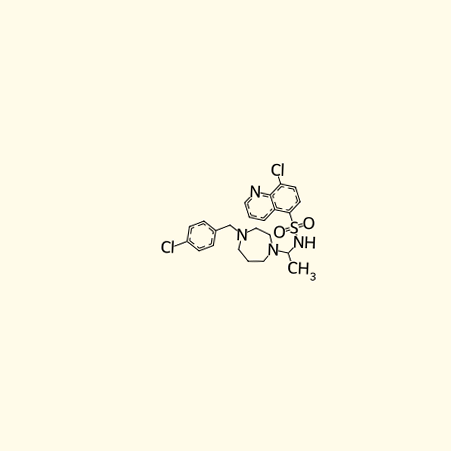 CC(NS(=O)(=O)c1ccc(Cl)c2ncccc12)N1CCCN(Cc2ccc(Cl)cc2)CC1